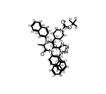 CC(C(=O)N(c1ccc2ccccc2c1)C(C)c1nnnn1CCc1ccccc1)N(C(=O)C1CCN(C(=O)OC(C)(C)C)CC1)c1ccc2ccccc2c1